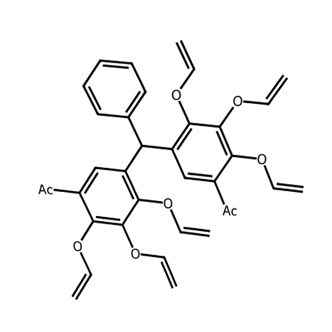 C=COc1c(C(C)=O)cc(C(c2ccccc2)c2cc(C(C)=O)c(OC=C)c(OC=C)c2OC=C)c(OC=C)c1OC=C